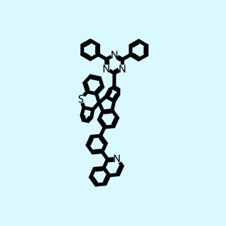 C1=CC2Sc3ccccc3C3(c4cc(-c5cccc(-c6nccc7ccccc67)c5)ccc4-c4ccc(-c5nc(-c6ccccc6)nc(-c6ccccc6)n5)cc43)C2C=C1